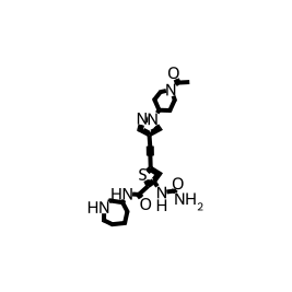 CC(=O)N1CCC(n2cc(C#Cc3cc(NC(N)=O)c(C(=O)NC4CCCCNC4)s3)cn2)CC1